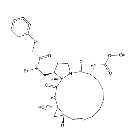 CCN(C[C@H]1CCN2C(=O)[C@H](NC(=O)OC(C)(C)C)CCCCC/C=C\[C@@H]3C[C@@]3(C(=O)O)NC(=O)[C@H]12)C(=O)COc1ccccc1